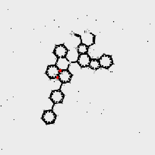 C=Cc1oc2c(N(c3ccc(-c4ccc(-c5ccccc5)cc4)cc3)c3ccccc3-c3ccccc3)cc3oc4ccccc4c3c2c1/C=C\C